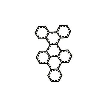 c1ccc2c(c1)c1ccccc1c1c3cccc4c5ccccc5c5cccc(c21)c5c43